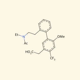 CCN(CCc1ccccc1-c1cc(CC(=O)O)c(C(F)(F)F)cc1OC)C(C)=O